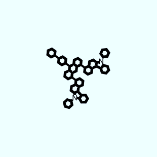 c1ccc(-c2ccc(-c3c4cccc(-c5cccc6c5ccc5c6c6ccccc6n5-c5ccccc5)c4cc4c(-c5cccc6c5ccc5c6c6ccccc6n5-c5ccccc5)cccc34)cc2)cc1